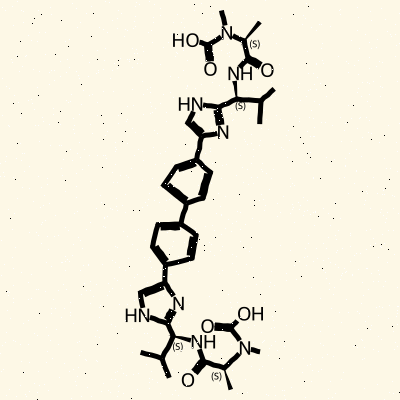 CC(C)[C@H](NC(=O)[C@H](C)N(C)C(=O)O)c1nc(-c2ccc(-c3ccc(-c4c[nH]c([C@@H](NC(=O)[C@H](C)N(C)C(=O)O)C(C)C)n4)cc3)cc2)c[nH]1